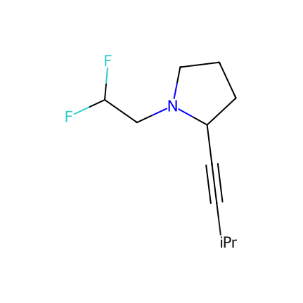 CC(C)C#CC1CCCN1CC(F)F